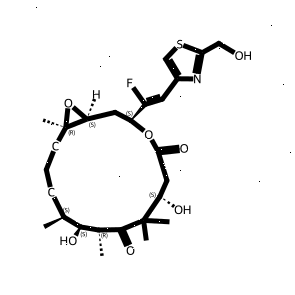 C[C@H]1CCC[C@@]2(C)O[C@H]2C[C@@H](C(F)=Cc2csc(CO)n2)OC(=O)C[C@H](O)C(C)(C)C(=O)[C@H](C)[C@H]1O